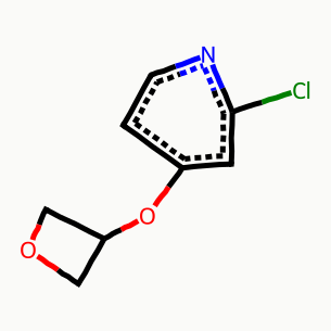 Clc1cc(OC2COC2)ccn1